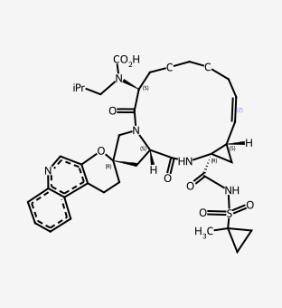 CC(C)CN(C(=O)O)[C@H]1CCCCC/C=C\[C@@H]2C[C@@]2(C(=O)NS(=O)(=O)C2(C)CC2)NC(=O)[C@@H]2C[C@]3(CCc4c(cnc5ccccc45)O3)CN2C1=O